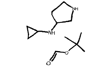 C1CC(NC2CC2)CN1.CC(C)(C)OC=O